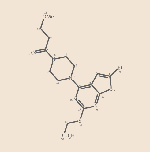 CCc1cc2c(N3CCN(C(=O)CCOC)CC3)nc(SCC(=O)O)nc2s1